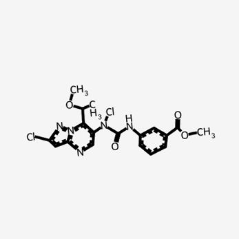 COC(=O)c1cccc(NC(=O)N(Cl)c2cnc3cc(Cl)nn3c2C(C)OC)c1